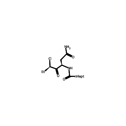 CCCCCCCC(=O)N[C@H](CC(N)=O)C(=O)[C@H](Cl)CC